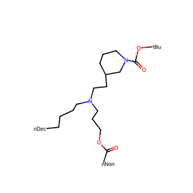 CCCCCCCCCCCCCCN(CCCOC(=O)CCCCCCCCC)CCC1CCCN(C(=O)OC(C)(C)C)C1